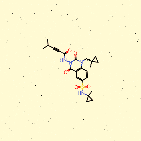 CC(C)C#CC(=O)Nn1c(=O)c2cc(S(=O)(=O)NC3(C)CC3)ccc2n(CC2(C)CC2)c1=O